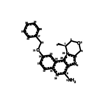 C[C@H]1COCc2nc3c(N)nc4ccc(OCc5ccccc5)cc4c3n21